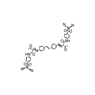 CC(=O)C(N=Nc1ccc(C=Cc2ccc(N=NC(C(C)=O)C(=O)Nc3ccc(S(=O)(=O)N(C#N)C#N)cc3)cc2)cc1)C(=O)Nc1ccc(S(=O)(=O)N(C#N)C#N)cc1